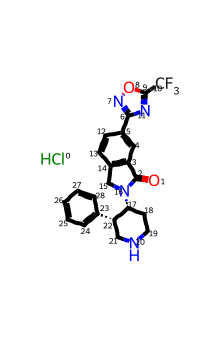 Cl.O=C1c2cc(-c3noc(C(F)(F)F)n3)ccc2CN1[C@@H]1CCNC[C@@H]1c1ccccc1